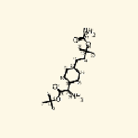 CC(C)(C)OC(=O)C(N)C1CCC(CCC(C)(C)OC(N)=O)CC1